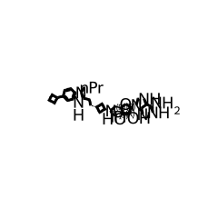 CCCN1c2ccc(C3CCC3)cc2NC1CC[C@H]1C[C@@H](N(C[C@H]2O[C@@H](N3CNC4C(N)NCN(C)C43)[C@H](O)[C@@H]2O)C(C)C)C1